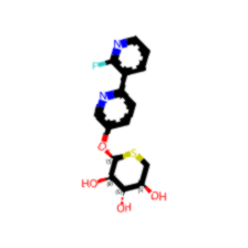 O[C@@H]1[C@@H](O)[C@@H](Oc2ccc(-c3cccnc3F)nc2)SC[C@H]1O